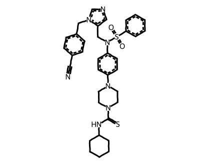 N#Cc1ccc(Cn2cncc2CN(c2ccc(N3CCN(C(=S)NC4CCCCC4)CC3)cc2)S(=O)(=O)c2ccccc2)cc1